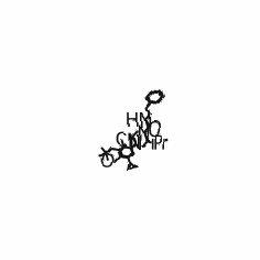 CC(C)C1CN(c2cc(C3CC3)c3c(c2C#N)CC(C)(C)OC3)CCN1C(=O)NCCc1ccccc1